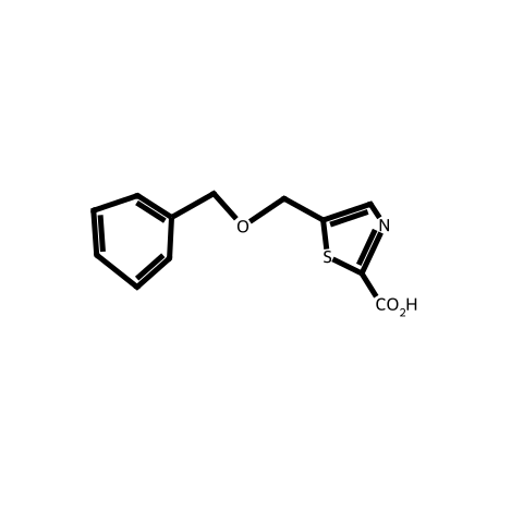 O=C(O)c1ncc(COCc2ccccc2)s1